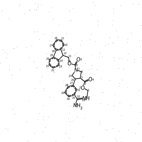 CCOC(=O)C1CN(C(=O)OCC2c3ccccc3-c3ccccc32)CC1c1cccc(C(=N)N)c1